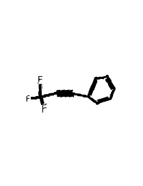 FC(F)(F)C#Cc1ccccc1